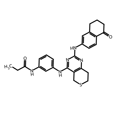 CCC(=O)Nc1cccc(Nc2nc(Nc3ccc4c(c3)CCCC4=O)nc3c2CSCC3)c1